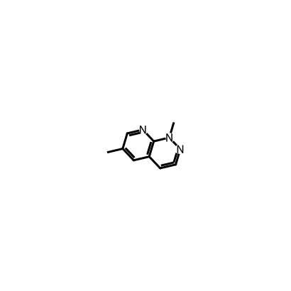 Cc1cnc2c(c1)C=C=NN2C